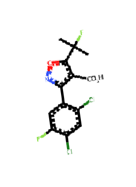 CC(C)(F)c1onc(-c2cc(F)c(Cl)cc2Cl)c1C(=O)O